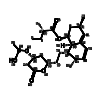 CC[C@H](C)C(=O)O[C@H]1C[C@@H](C)C=C2C=C[C@H](C)[C@H](CC[C@H]3C[C@@H](OB(C)O)CC(=O)O3)[C@H]21